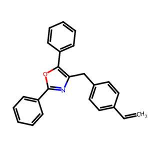 C=Cc1ccc(Cc2nc(-c3ccccc3)oc2-c2ccccc2)cc1